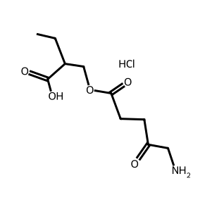 CCC(COC(=O)CCC(=O)CN)C(=O)O.Cl